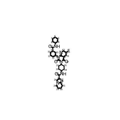 O=C(Nc1ccccc1)c1cccc(-n2c(=O)n(C3CCC(NC(=O)c4cn5ccccc5n4)CC3)c(=O)c3cc(F)cnc32)c1